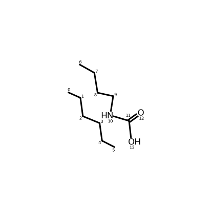 CCCCCC.CCCCNC(=O)O